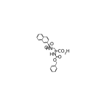 O=C(N[C@@H](CNS(=O)(=O)c1ccc2ccccc2c1)C(=O)O)OCc1ccccc1